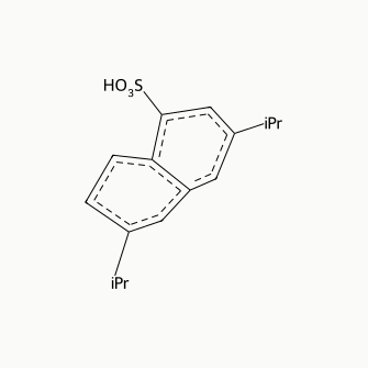 CC(C)c1ccc2c(S(=O)(=O)O)cc(C(C)C)cc2c1